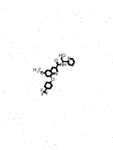 COc1cc(Oc2ccc(C(F)(F)F)cc2)c2ncc(C(=O)NC(CO)c3ccccn3)cc2c1